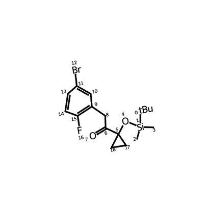 CC(C)(C)[Si](C)(C)OC1(C(=O)Cc2cc(Br)ccc2F)CC1